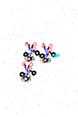 COCCN(CCOC)SN(C(=O)c1ccccc1)C1=N[C@@]2(c3ccccc3F)COC[C@@H](F)[C@H]2CS1.COCCN(CCOC)SN(C(=O)c1ccccc1)C1=N[C@@]2(c3ccccc3F)COC[C@@H](F)[C@H]2CS1.COCCN(CCOC)SN(C(=O)c1ccccc1)C1=N[C@@]2(c3ccccc3F)COC[C@@H](F)[C@H]2CS1.F.F.F